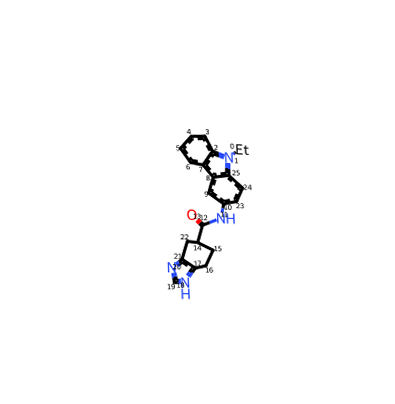 CCn1c2ccccc2c2cc(NC(=O)C3CCc4[nH]cnc4C3)ccc21